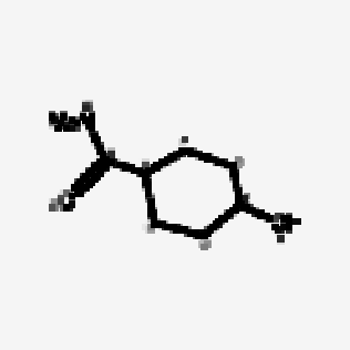 CNC(=O)C1CCC(O)CC1